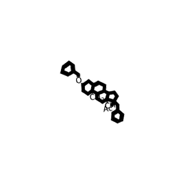 CC(=O)C1(Cc2ccccc2)CCC2C3CC=C4C[C@@H](OCc5ccccc5)CC[C@]4(C)C3CC[C@@]21C